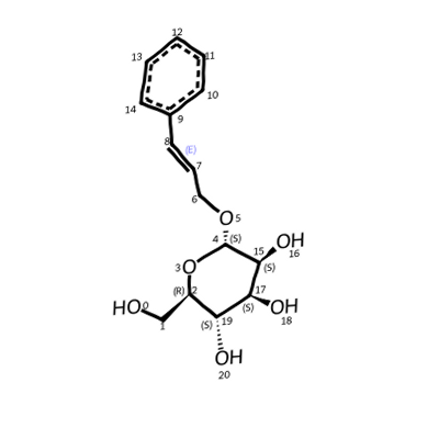 OC[C@H]1O[C@H](OC/C=C/c2ccccc2)[C@@H](O)[C@@H](O)[C@@H]1O